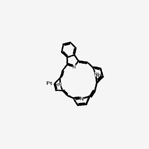 C1=Cc2cc3ccc(cc4nc(cc5ccc(cc1n2)[nH]5)-c1ccccc1-4)[nH]3.[Pt]